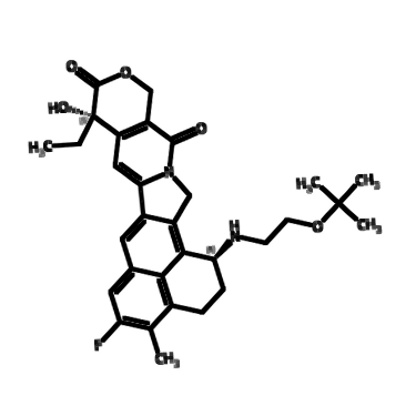 CC[C@@]1(O)C(=O)OCc2c1cc1n(c2=O)Cc2c-1cc1cc(F)c(C)c3c1c2[C@@H](NCCOC(C)(C)C)CC3